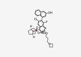 CC(C)(C)OC(=O)N1[C@@H]2CC[C@H]1CN(c1nc(OCCCN3CCC3)nc3c(F)c(-c4cc(O)cc5ccccc45)c(Cl)cc13)C2